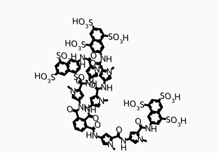 Cn1cc(NC(=O)c2cccc(C(=O)Nc3cc(C(=O)Nc4cc(C(=O)Nc5cc(S(=O)(=O)O)c6cc(S(=O)(=O)O)cc(S(=O)(=O)O)c6c5)n(C)c4)n(C)c3)c2C(=O)Nc2cc(C(=O)Nc3cc(C(=O)Nc4cc(S(=O)(=O)O)c5cc(S(=O)(=O)O)cc(S(=O)(=O)O)c5c4)n(C)c3)n(C)c2)cc1C(=O)Nc1cc(C(=O)Nc2cc(S(=O)(=O)O)c3cc(S(=O)(=O)O)cc(S(=O)(=O)O)c3c2)n(C)c1